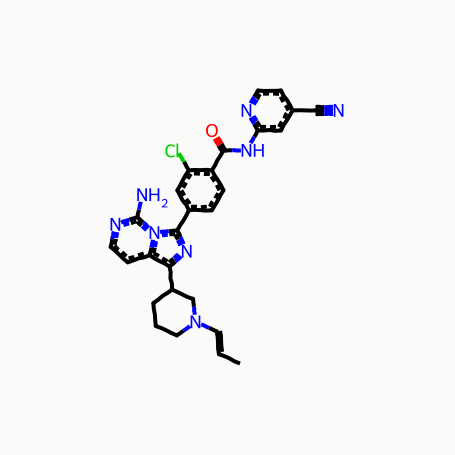 CC=CN1CCCC(c2nc(-c3ccc(C(=O)Nc4cc(C#N)ccn4)c(Cl)c3)n3c(N)nccc23)C1